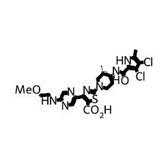 COCCNc1cnc(-c2nc(N3CC[C@@H](NC(=O)c4[nH]c(C)c(Cl)c4Cl)[C@@H](C)C3)sc2C(=O)O)cn1